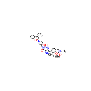 CN(Cc1ccc(-c2c3ncn(CC4(O)CCN(C(=O)C[C@H](c5ccccc5)C(F)(F)F)CC4)c(=O)c3nn2C)cc1)C(=O)OC(C)(C)C